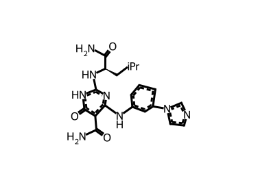 CC(C)C[C@@H](Nc1nc(Nc2cccc(-n3ccnc3)c2)c(C(N)=O)c(=O)[nH]1)C(N)=O